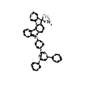 CC1(C)c2ccccc2-c2c1ccc1c2c2ccccc2n1-c1ccc(-c2nc(-c3ccccc3)cc(-c3ccccc3)n2)cc1